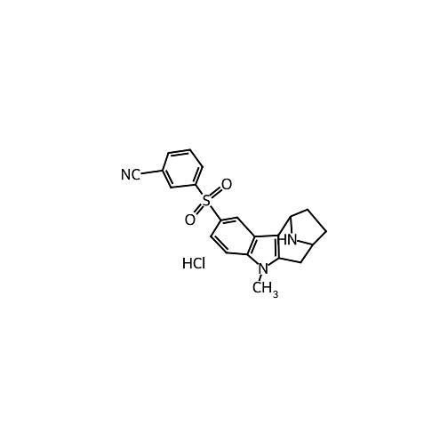 Cl.Cn1c2c(c3cc(S(=O)(=O)c4cccc(C#N)c4)ccc31)C1CCC(C2)N1